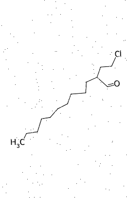 CCCCCCCCCCC(C=O)CCCl